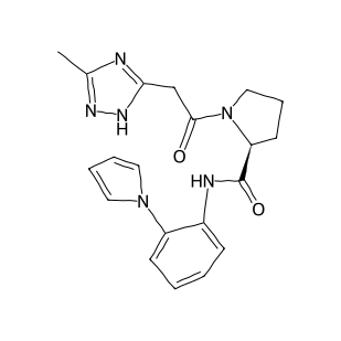 Cc1n[nH]c(CC(=O)N2CCC[C@H]2C(=O)Nc2ccccc2-n2cccc2)n1